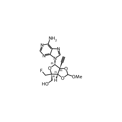 C#C[C@@]12OC(OC)O[C@@H]1[C@](CO)(CF)O[C@H]2n1cnc2c(N)ncnc21